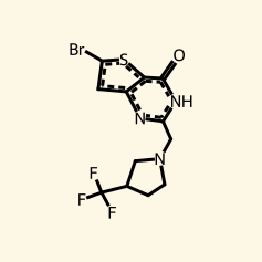 O=c1[nH]c(CN2CCC(C(F)(F)F)C2)nc2cc(Br)sc12